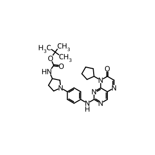 CC(C)(C)OC(=O)NC1CCN(c2ccc(Nc3ncc4ncc(=O)n(C5CCCC5)c4n3)cc2)C1